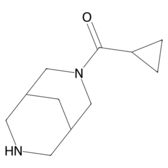 O=C(C1CC1)N1CC2CNCC(C2)C1